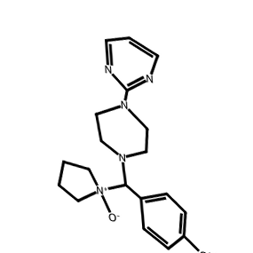 COc1ccc(C(N2CCN(c3ncccn3)CC2)[N+]2([O-])CCCC2)cc1